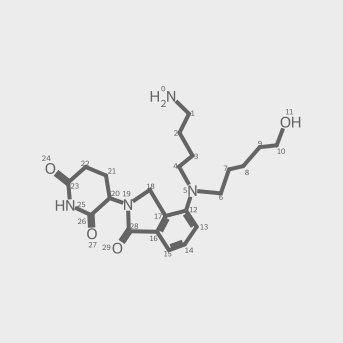 NCCCCN(CCCCCO)c1cccc2c1CN(C1CCC(=O)NC1=O)C2=O